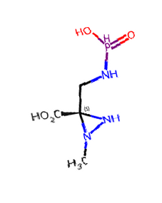 CN1N[C@]1(CN[PH](=O)O)C(=O)O